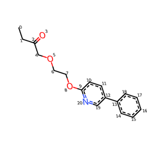 CCC(=O)COCCOc1ccc(-c2ccccc2)cn1